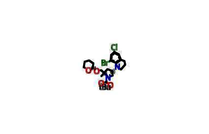 CC(C)(C)OC(=O)N1C[C@@H](N2CCCc3cc(Cl)cc(Br)c32)C[C@@]1(C)CO[C@H]1CCCCO1